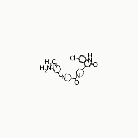 CN1CCC(CN2CCC(C(=O)N3CCC(c4cc(=O)[nH]c5ccc(Cl)cc45)CC3)CC2)C=C1N